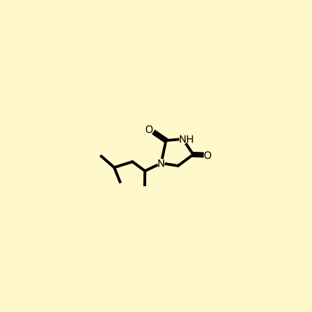 CC(C)CC(C)N1CC(=O)NC1=O